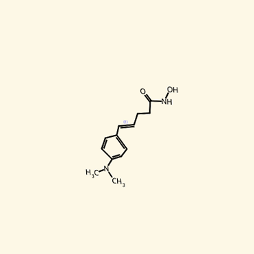 CN(C)c1ccc(/C=C/CCC(=O)NO)cc1